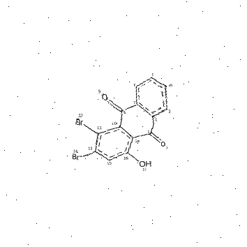 O=C1c2ccccc2C(=O)c2c(Br)c(Br)cc(O)c21